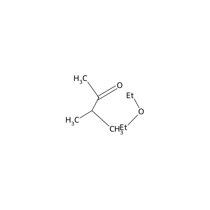 CC(=O)C(C)C.CCOCC